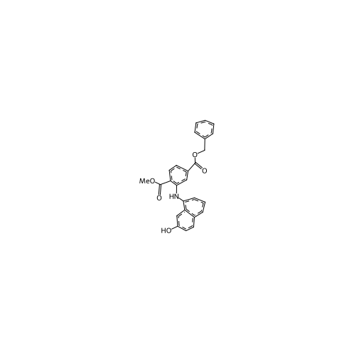 COC(=O)c1ccc(C(=O)OCc2ccccc2)cc1Nc1cccc2ccc(O)cc12